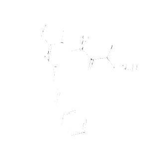 CC(C)C(=O)C(=O)OC(=O)C(=NOC/C=C/c1ccccc1)C(C)C.[NaH]